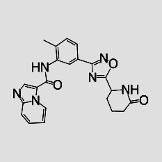 Cc1ccc(-c2noc(C3CCCC(=O)N3)n2)cc1NC(=O)c1cnc2ccccn12